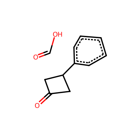 O=C1CC(c2ccccc2)C1.O=CO